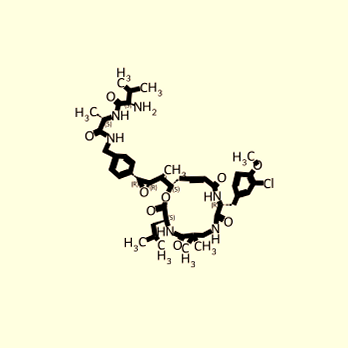 COc1ccc(C[C@H]2NC(=O)C=CC[C@@H]([C@H](C)[C@H]3O[C@@H]3c3ccc(CNC(=O)[C@H](C)NC(=O)[C@@H](N)C(C)C)cc3)OC(=O)[C@H](CC(C)C)NC(=O)C(C)(C)CNC2=O)cc1Cl